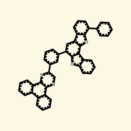 c1ccc(-c2cccc3c2oc2c3cc(-c3cccc(-c4cnc5c6ccccc6c6ccccc6c5n4)c3)c3oc4ccccc4c32)cc1